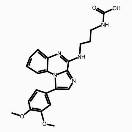 COc1ccc(-c2cnc3c(NCCCNC(=O)O)nc4ccccc4n23)cc1OC